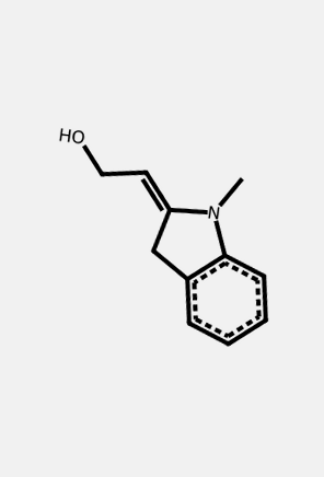 CN1/C(=C/CO)Cc2ccccc21